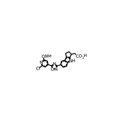 COc1cc(-c2nc(-c3ccc4[nH]c5c(c4c3)CCC5CC(=O)O)no2)cc(Cl)n1